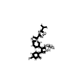 CC(C)c1nc(-c2cnc3ccc(-c4c[nH]nc4-c4ccc(F)cc4F)cn23)no1.Cl.Cl.Cl